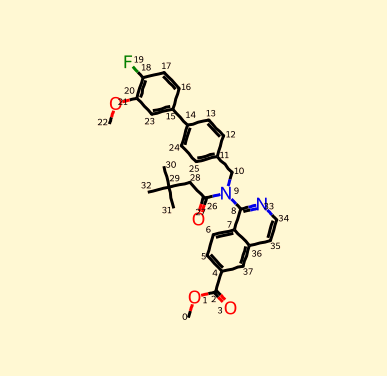 COC(=O)c1ccc2c(N(Cc3ccc(-c4ccc(F)c(OC)c4)cc3)C(=O)CC(C)(C)C)nccc2c1